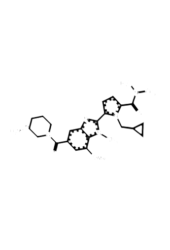 COc1cc(C(=O)N2CCC[C@@H](N)C2)cc2nc(-c3ccc(C(=O)N(C)C)n3CC3CC3)n(C)c12